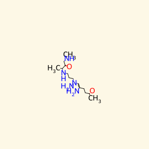 CNCC(=O)C(C)NCCCN(N)/C=C(\N)CCC(C)=O